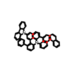 C1=CC2c3ccccc3N(c3cccc(-c4c(-c5ccccc5)cccc4N(c4cccc(-c5cccc6ccccc56)c4)c4ccccc4-c4ccccc4)c3)C2C=C1